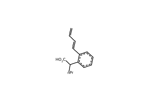 C=CC=Cc1ccccc1C(CCC)C(=O)O